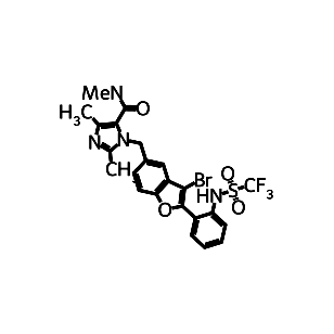 CNC(=O)c1c(C)nc(C)n1Cc1ccc2oc(-c3ccccc3NS(=O)(=O)C(F)(F)F)c(Br)c2c1